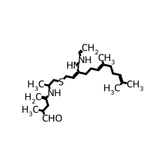 C=CNN/C(=C\CSCC(C)NC(=C)CC(C)C=O)CC/C=C(\C)CCC=C(C)C